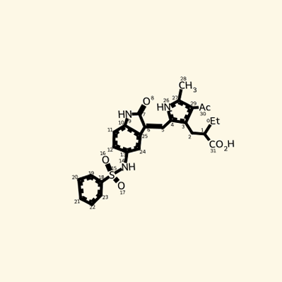 CCC(Cc1c(/C=C2\C(=O)Nc3ccc(NS(=O)(=O)c4ccccc4)cc32)[nH]c(C)c1C(C)=O)C(=O)O